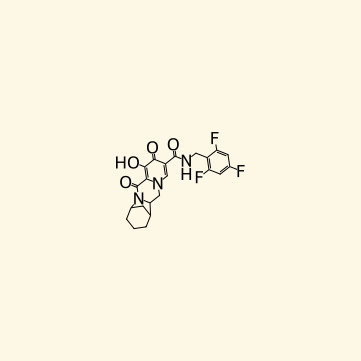 O=C(NCc1c(F)cc(F)cc1F)c1cn2c(c(O)c1=O)C(=O)N1C3CCCC(C3)C1C2